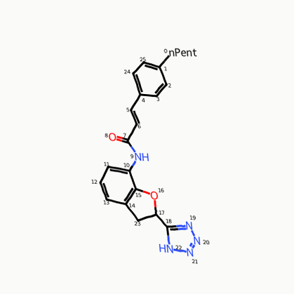 CCCCCc1ccc(C=CC(=O)Nc2cccc3c2OC(c2nnn[nH]2)C3)cc1